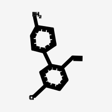 Bc1ccc(-c2cc(Cl)ccc2C=C)cc1